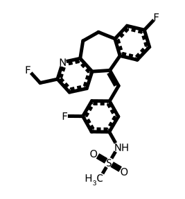 CS(=O)(=O)Nc1cc(F)cc(/C=C2/c3ccc(F)cc3CCc3nc(CF)ccc32)c1